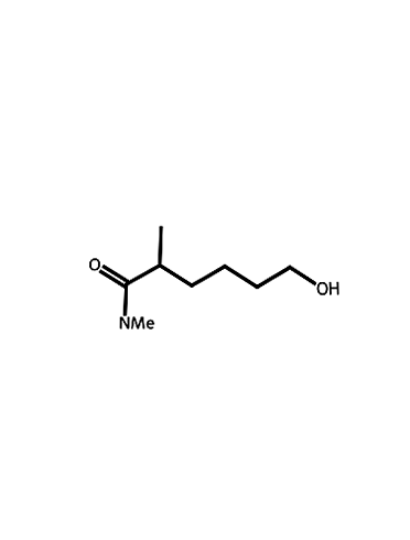 CNC(=O)C(C)CCCCO